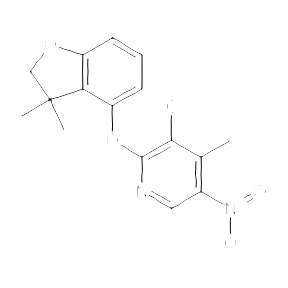 Cc1c([N+](=O)[O-])cnc(Oc2cccc3c2C(C)(C)CO3)c1Cl